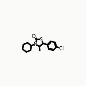 CC1C(c2ccc(Cl)cc2)SC(=O)N1C1CCCCC1